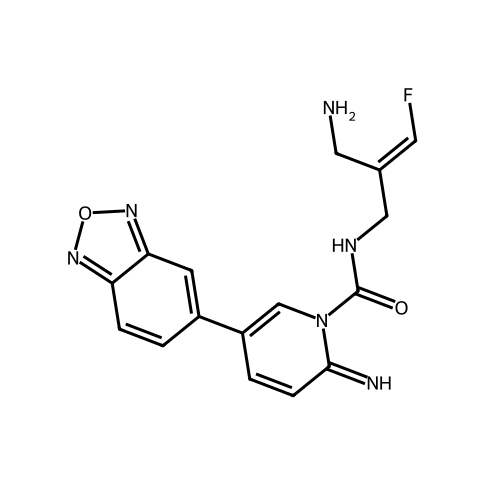 N=c1ccc(-c2ccc3nonc3c2)cn1C(=O)NC/C(=C/F)CN